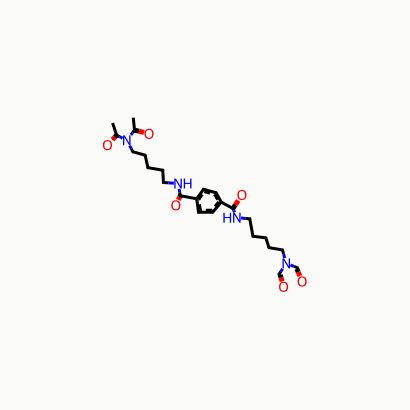 CC(=O)N(CCCCCNC(=O)c1ccc(C(=O)NCCCCCN(C=O)C=O)cc1)C(C)=O